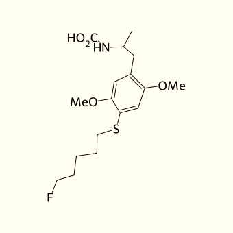 COc1cc(SCCCCCF)c(OC)cc1CC(C)NC(=O)O